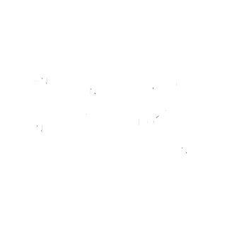 CC1(C)Cc2ccncc2[C@]1(O)c1cccc(-c2csc(-c3c[nH]c4ccncc34)n2)c1